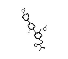 C=C(C)C(=O)Oc1ccc(-c2ccc(-c3ccc(OC)cc3)cc2F)c(COC)c1